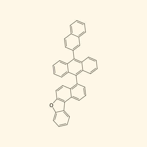 c1ccc2cc(-c3c4ccccc4c(-c4cccc5c4ccc4oc6ccccc6c45)c4ccccc34)ccc2c1